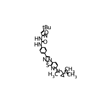 CN(CC1(N(C)C)CC1)c1ccc2c(n1)sc1nc(-c3ccc(NC(=O)Nc4cc(C(C)(C)C)on4)cc3)cn12